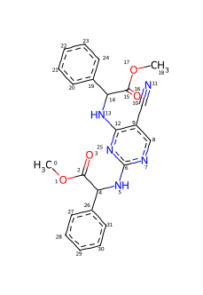 COC(=O)C(Nc1ncc(C#N)c(NC(C(=O)OC)c2ccccc2)n1)c1ccccc1